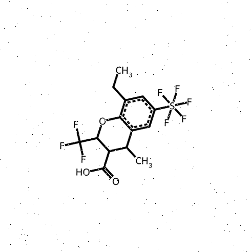 CCc1cc(S(F)(F)(F)(F)F)cc2c1OC(C(F)(F)F)C(C(=O)O)C2C